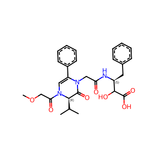 COCC(=O)N1C=C(c2ccccc2)N(CC(=O)N[C@@H](Cc2ccccc2)C(O)C(=O)O)C(=O)[C@H]1C(C)C